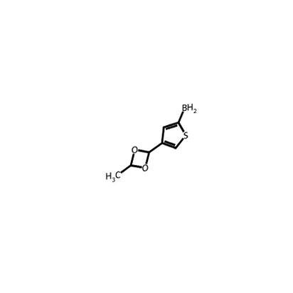 Bc1cc(C2OC(C)O2)cs1